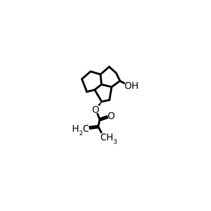 C=C(C)C(=O)O[C@@H]1CC2C(O)CCC3CCCC1C32